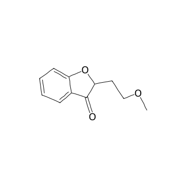 COCCC1Oc2ccccc2C1=O